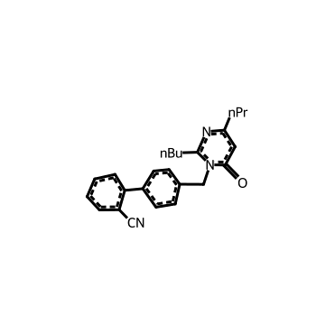 CCCCc1nc(CCC)cc(=O)n1Cc1ccc(-c2ccccc2C#N)cc1